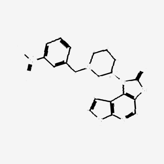 O=c1[nH]c2cnc3[nH]ccc3c2n1[C@@H]1CCCN(Cc2cccc([N+](=O)[O-])c2)C1